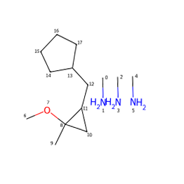 CN.CN.CN.COC1(C)CC1CC1CCCC1